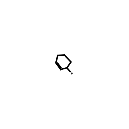 FC1[C]=CC[CH]C1